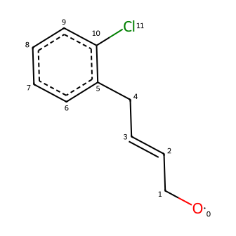 [O]CC=CCc1ccccc1Cl